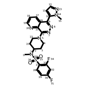 CN(C1CCN(c2nnc(-c3ccnn3C)c3cccnc23)CC1)S(=O)(=O)c1ccc(F)cc1F